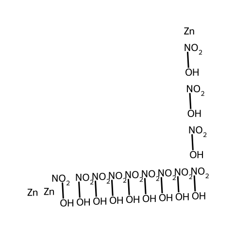 O=[N+]([O-])O.O=[N+]([O-])O.O=[N+]([O-])O.O=[N+]([O-])O.O=[N+]([O-])O.O=[N+]([O-])O.O=[N+]([O-])O.O=[N+]([O-])O.O=[N+]([O-])O.O=[N+]([O-])O.O=[N+]([O-])O.O=[N+]([O-])O.[Zn].[Zn].[Zn]